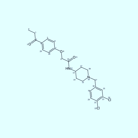 CCC(=O)c1ccc(OCC(=O)NC2CCN(Cc3ccc(Cl)c(Cl)c3)CC2)cc1